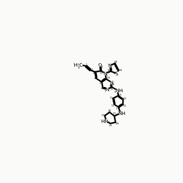 CC#Cc1cc2cnc(Nc3ccc(NC4CCNCC4)cc3)nc2n(-c2nccs2)c1=O